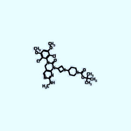 CNc1ncc2c(n1)N(C1CN(C3CCN(C(=O)OC(C)(C)C)CC3)C1)C(=O)N(c1c(Cl)c(OC)cc(OC)c1Cl)C2